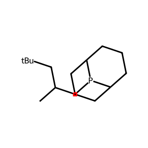 CC(CP1C2CCCC1CCC2)CC(C)(C)C